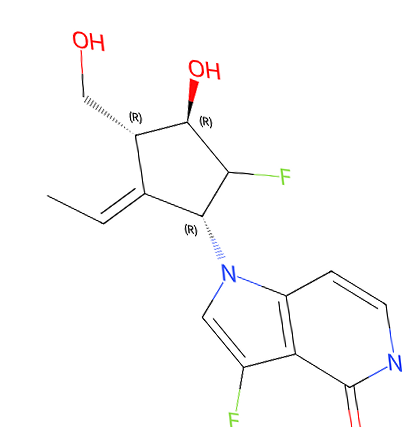 CC=C1[C@@H](n2cc(F)c3c(=O)[nH]ccc32)C(F)[C@H](O)[C@H]1CO